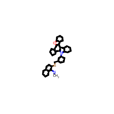 C=Nc1c(SCc2cccc(-n3c4ccccc4c4c5c6ccccc6oc5c5ccccc5c43)c2)ccc2ccccc12